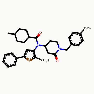 COc1ccc(CN2CCC(N(C(=O)C3CCC(C)CC3)c3cc(-c4ccccc4)sc3C(=O)O)CC2=O)cc1